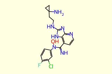 N=C(c1ccnc2nc(NCCC3(N)CC3)[nH]c12)N(O)c1ccc(F)c(Cl)c1